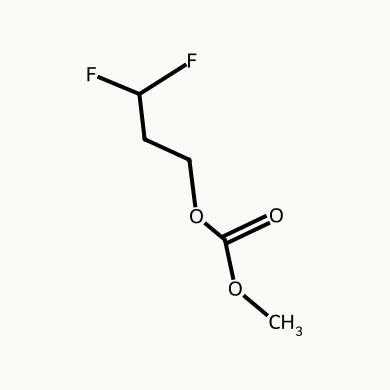 COC(=O)OCCC(F)F